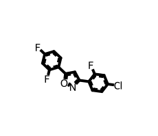 Fc1ccc(-c2cc(-c3ccc(Cl)cc3F)no2)c(F)c1